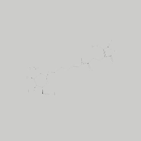 CC(=O)N[C@@H]1[C@@H](OCCOCCNC(=O)CCC2=C(C)C(=O)OC2=O)O[C@@H](CO)[C@@H](O)[C@H]1O